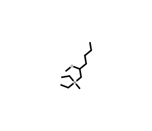 CCCCC(C[N+](C)(CC)CC)OC